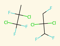 CC(F)(Cl)C(F)(F)Cl.FCC(Cl)(Cl)C(F)F